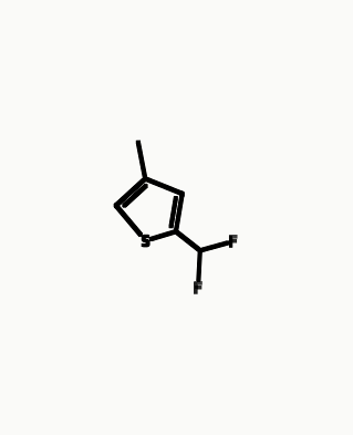 Cc1csc(C(F)F)c1